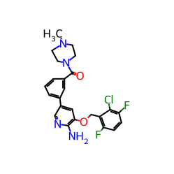 CN1CCN(C(=O)c2cccc(-c3cnc(N)c(OCc4c(F)ccc(F)c4Cl)c3)c2)CC1